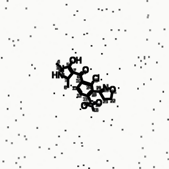 CC1NN(C)C(O)=C1C(=O)c1ccc(S(C)(=O)=O)c(C2=NOCC2)c1Cl